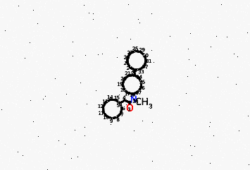 CN(C(=O)CC1CCCCCCCCCC1)C1CCCCCC(C2CCCCCCCCCC2)CCCC1